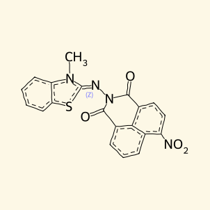 Cn1/c(=N/N2C(=O)c3cccc4c([N+](=O)[O-])ccc(c34)C2=O)sc2ccccc21